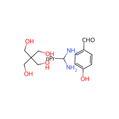 CCCC(N)N.O=Cc1ccc(O)cc1.OCC(CO)(CO)CO